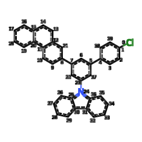 Clc1ccc(-c2cc(-c3ccc4c(ccc5ccccc54)c3)cc(-n3c4ccccc4c4ccccc43)c2)cc1